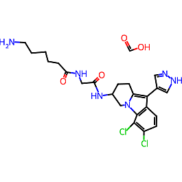 NCCCCCC(=O)NCC(=O)NC1CCc2c(-c3cn[nH]c3)c3ccc(Cl)c(Cl)c3n2C1.O=CO